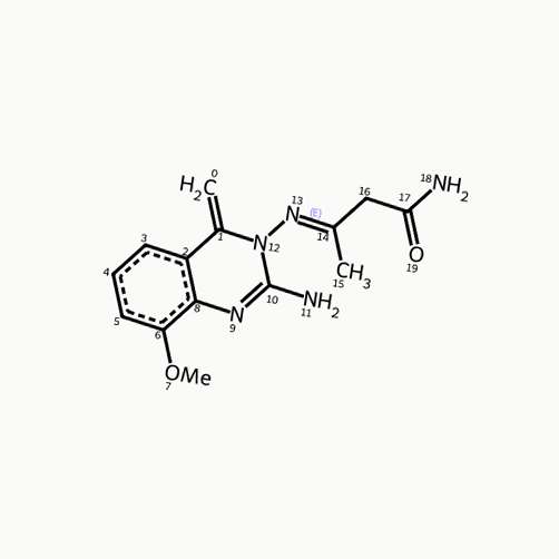 C=C1c2cccc(OC)c2N=C(N)N1/N=C(\C)CC(N)=O